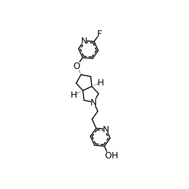 Oc1ccc(CCN2C[C@H]3C[C@H](Oc4ccc(F)nc4)C[C@H]3C2)nc1